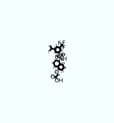 CC(C)c1cc(C(F)(F)F)cc(S(=O)(=O)N[C@@H]2CCCc3c(OCC(=O)O)cccc32)c1